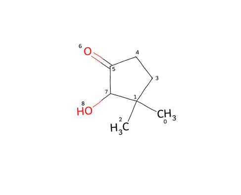 CC1(C)CCC(=O)C1O